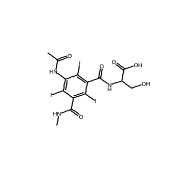 CNC(=O)c1c(I)c(NC(C)=O)c(I)c(C(=O)NC(CO)C(=O)O)c1I